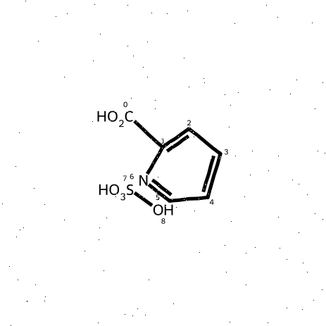 O=C(O)c1ccccn1.O=S(=O)(O)O